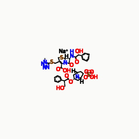 CN1[C@@H]2CC[C@H]1C[C@@H](OC(=O)C(CO)c1ccccc1)C2.Cn1nnnc1SCC1=C(C(=O)O)N2C(=O)[C@@H](NC(=O)[C@H](O)c3ccccc3)[C@H]2SC1.O=S(=O)([O-])O.[Na+]